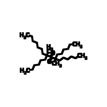 CCCCCCCC(C)(CCCCCC)S(=O)(=O)C(C)(CCCCCC)CCCCCC